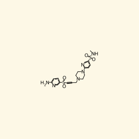 CNS(=O)(=O)c1ccc(N2CCN(CC#CS(=O)(=O)c3ccc(N)nc3)CC2)nc1